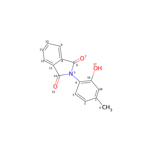 Cc1ccc(N2C(=O)c3ccccc3C2=O)c(O)c1